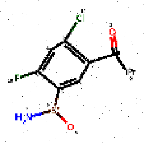 CC(C)C(=O)c1cc([S+](N)[O-])c(F)cc1Cl